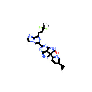 CC1(c2ccc(C3CC3)cn2)C(=O)Nc2nc(-c3cn4ccnc4c(CCC(F)(F)C(F)(F)F)n3)nc(N)c21